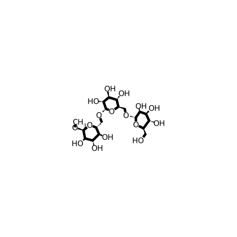 CO[C@H]1O[C@H](CO[C@H]2O[C@H](CO[C@H]3O[C@H](CO)[C@@H](O)[C@H](O)[C@H]3O)[C@@H](O)[C@H](O)[C@H]2O)[C@@H](O)[C@H](O)[C@H]1O